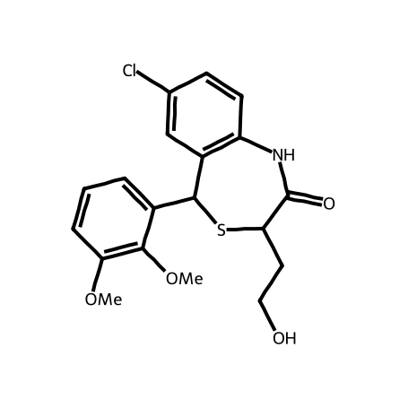 COc1cccc(C2SC(CCO)C(=O)Nc3ccc(Cl)cc32)c1OC